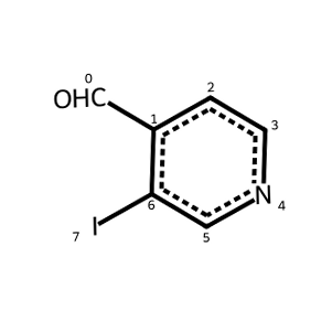 O=Cc1ccncc1I